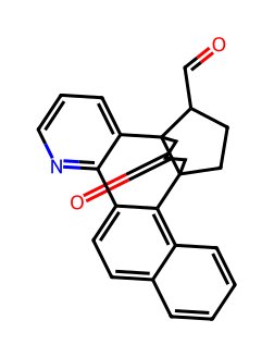 O=CC1CCC23CC(=O)CC12c1cccnc1-c1ccc2ccccc2c13